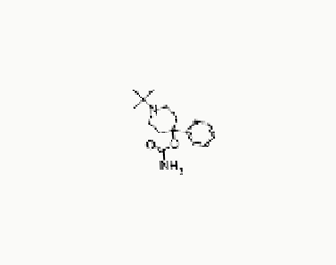 CC(C)(C)N1CCC(OC(N)=O)(c2ccccc2)CC1